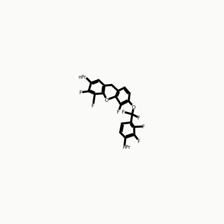 CCCc1ccc(C(F)(F)Oc2ccc3c(c2F)Oc2c(cc(CCC)c(F)c2F)C3)c(F)c1F